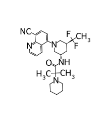 CC(F)(F)[C@H]1C[C@@H](NC(=O)C(C)(C)N2CCCCC2)CN(c2ccc(C#N)c3ncccc23)C1